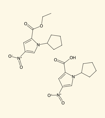 CCOC(=O)c1cc([N+](=O)[O-])cn1C1CCCC1.O=C(O)c1cc([N+](=O)[O-])cn1C1CCCC1